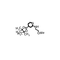 COCCNc1cc(B2OC(C)(C)C(C)(C)O2)ccn1